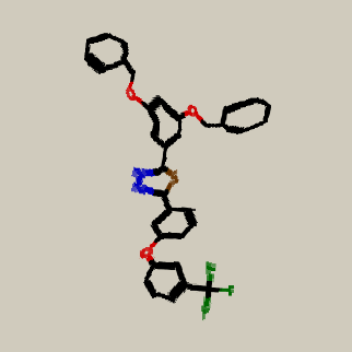 FC(F)(F)c1cccc(Oc2cc[c]c(-c3nnc(-c4cc(OCc5ccccc5)cc(OCc5ccccc5)c4)s3)c2)c1